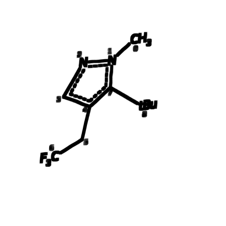 Cn1ncc(CC(F)(F)F)c1C(C)(C)C